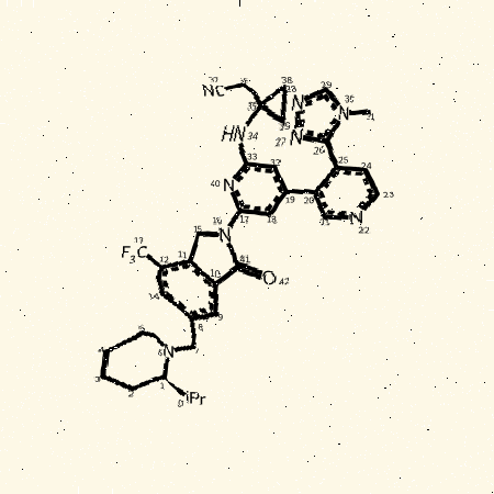 CC(C)[C@H]1CCCCN1Cc1cc2c(c(C(F)(F)F)c1)CN(c1cc(-c3cnccc3-c3nncn3C)cc(NC3(CC#N)CC3)n1)C2=O